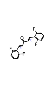 O=C(/C=C/c1c(F)cccc1F)/C=C/c1c(F)cccc1F